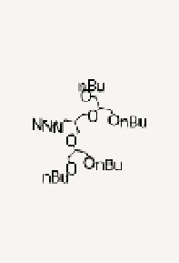 CCCCOCC(COCCCC)OCC(CN=[N+]=[N-])COC(COCCCC)COCCCC